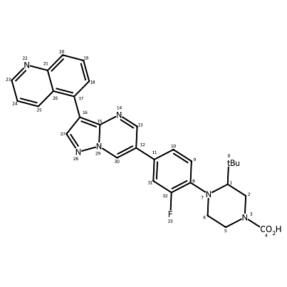 CC(C)(C)C1CN(C(=O)O)CCN1c1ccc(-c2cnc3c(-c4cccc5ncccc45)cnn3c2)cc1F